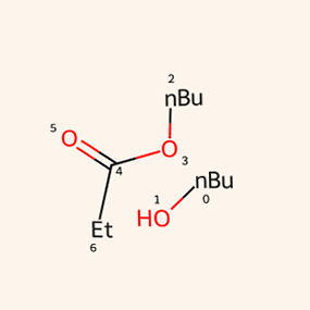 CCCCO.CCCCOC(=O)CC